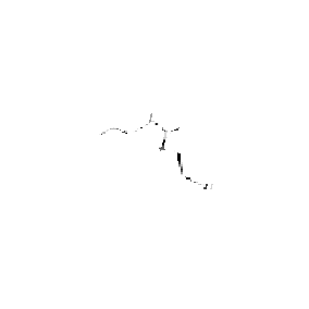 CCCNN(C)CCCN